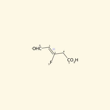 O=[C]/C=C(\F)CC(=O)O